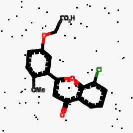 COc1ccc(OCC(=O)O)cc1-c1cc(=O)c2cccc(Cl)c2o1